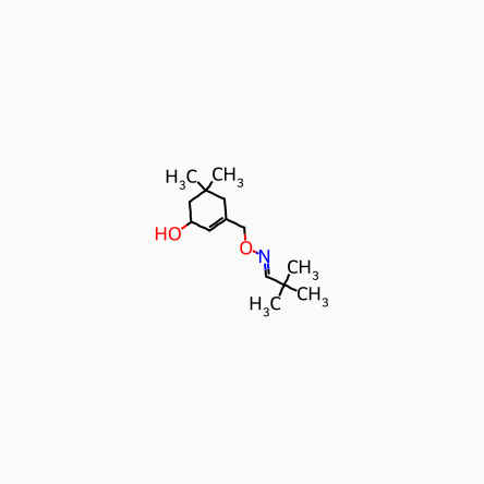 CC(C)(C)C=NOCC1=CC(O)CC(C)(C)C1